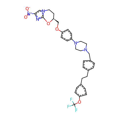 O=[N+]([O-])c1cn2c(n1)O[C@H](COc1ccc(N3CCN(Cc4ccc(CCc5ccc(OC(F)(F)F)cc5)cc4)CC3)cc1)CC2